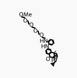 COCCOCCOCCOCCOCCNc1ccccc1Nc1ccc2c(c1)[C@]1(C)CCN(CC3CC3)[C@H](C2=O)[C@@H]1C